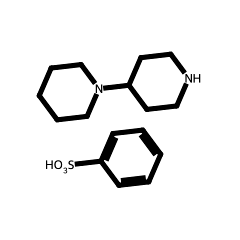 C1CCN(C2CCNCC2)CC1.O=S(=O)(O)c1ccccc1